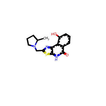 CC1CCCN1Cc1nc2c([nH]c(=O)c3cccc(O)c32)s1